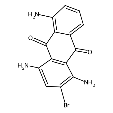 Nc1cccc2c1C(=O)c1c(N)cc(Br)c(N)c1C2=O